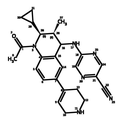 CC(=O)N1c2ccc(C3=CCNCC3)cc2C(Nc2cnc(C#N)cn2)[C@@H](C)[C@@H]1C1CC1